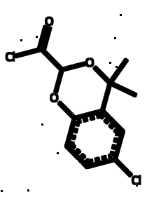 CC1(C)OC(C(=O)Cl)Oc2ccc(Cl)cc21